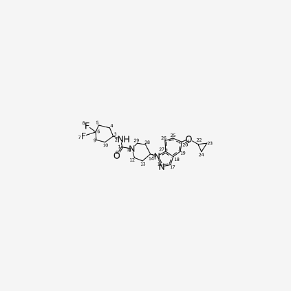 O=C(NC1CCC(F)(F)CC1)N1CCC(n2ncc3cc(OC4CC4)ccc32)CC1